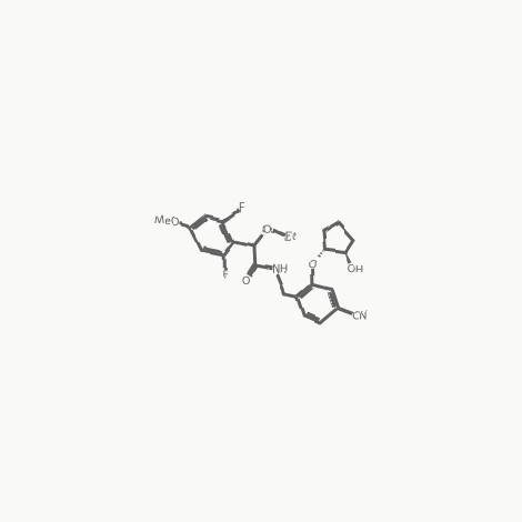 CCOC(C(=O)NCc1ccc(C#N)cc1O[C@@H]1CCC[C@H]1O)c1c(F)cc(OC)cc1F